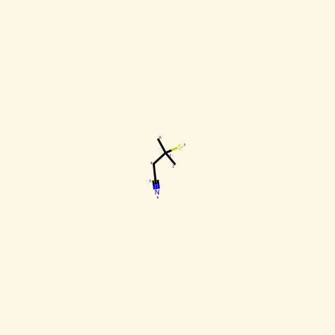 CC(C)([S])CC#N